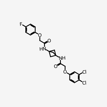 O=C(COc1ccc(F)cc1)NC12CC(NC(=O)COc3ccc(Cl)c(Cl)c3)(C1)C2